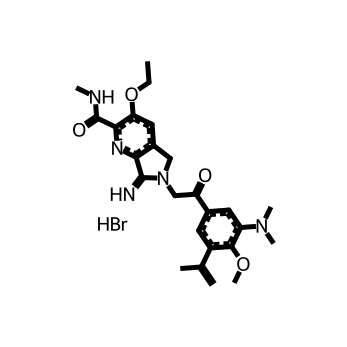 Br.C=C(C)c1cc(C(=O)CN2Cc3cc(OCC)c(C(=O)NC)nc3C2=N)cc(N(C)C)c1OC